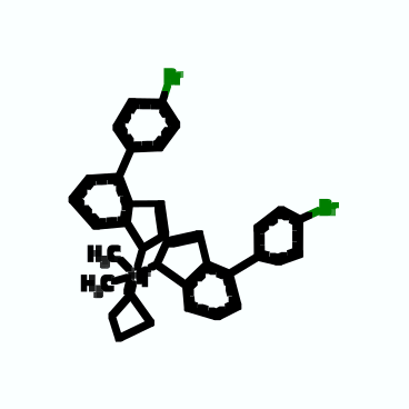 [CH3][Hf]([CH3])(=[C]1CCC1)([CH]1C=Cc2c(-c3ccc(Br)cc3)cccc21)[CH]1C=Cc2c(-c3ccc(Br)cc3)cccc21